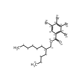 CCCCCCC(CCCC)COC(=O)c1cc(Br)c(Br)c(Br)c1Br